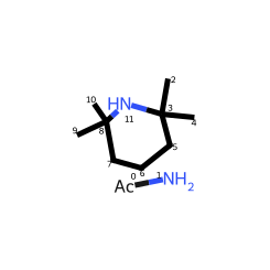 CC(N)=O.CC1(C)CCCC(C)(C)N1